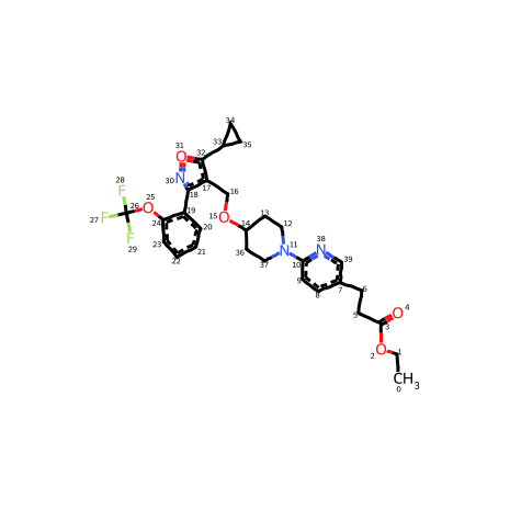 CCOC(=O)CCc1ccc(N2CCC(OCc3c(-c4ccccc4OC(F)(F)F)noc3C3CC3)CC2)nc1